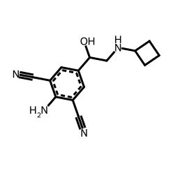 N#Cc1cc(C(O)CNC2CCC2)cc(C#N)c1N